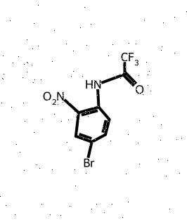 O=C(Nc1ccc(Br)cc1[N+](=O)[O-])C(F)(F)F